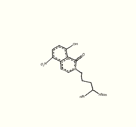 CCCCCCCCCC(CCC)CCCn1ccc2c([N+](=O)[O-])ccc(O)c2c1=O